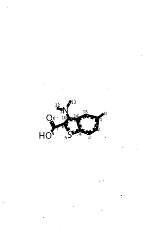 Cc1ccc2sc(C(=O)O)c(N(C)C)c2c1